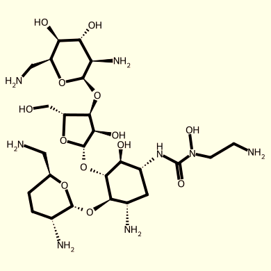 NCCN(O)C(=O)N[C@@H]1C[C@H](N)[C@@H](O[C@H]2O[C@H](CN)CC[C@H]2N)[C@H](O[C@@H]2O[C@H](CO)[C@@H](O[C@H]3O[C@@H](CN)[C@@H](O)[C@H](O)[C@H]3N)[C@H]2O)[C@H]1O